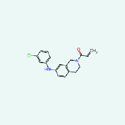 C=CC(=O)N1CCc2ccc(Nc3cccc(Cl)c3)cc2C1